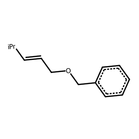 CC(C)/C=C/COCc1ccccc1